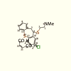 CNCCSC1Cc2ccccc2Sc2ccc(Cl)cc21.O=C(O)/C=C\C(=O)O